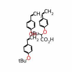 C=Cc1ccc(O)cc1.C=Cc1ccc(OC(C(=O)O)C(C)(C)C)cc1.C=Cc1ccc(OC(C)(C)C)cc1